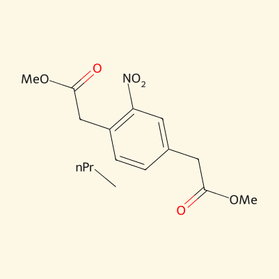 CCCC.COC(=O)Cc1ccc(CC(=O)OC)c([N+](=O)[O-])c1